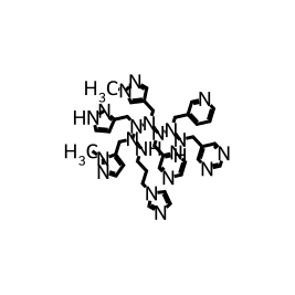 Cn1cc(CN(N(Cc2cnccn2)N(Cc2cccnc2)NCc2cncnc2)N(Cc2cc[nH]n2)N(Cc2ccnn2C)NCCCn2ccnc2)cn1